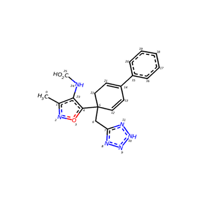 Cc1noc(C2(Cc3nn[nH]n3)C=CC(c3ccccc3)=CC2)c1NC(=O)O